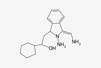 N/C=C1/c2ccccc2C(CC(O)C2CCCCC2)N1N